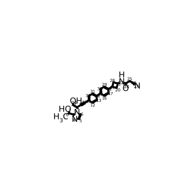 CC(O)c1nccn1C(C#Cc1ccc(-c2ccc(C3CC(NC(=O)CC#N)C3)cc2)cc1)CO